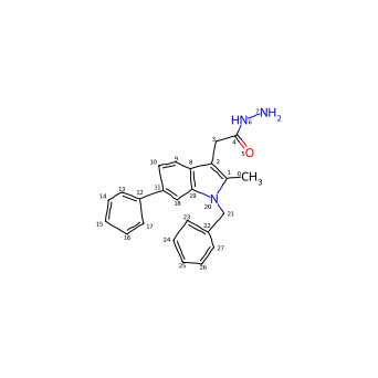 Cc1c(CC(=O)NN)c2ccc(-c3ccccc3)cc2n1Cc1ccccc1